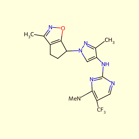 CNc1nc(Nc2cn(C3CCc4c(C)noc43)nc2C)ncc1C(F)(F)F